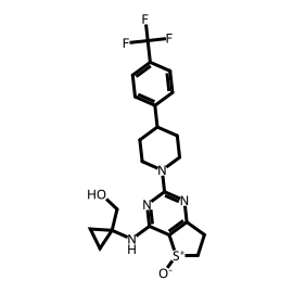 [O-][S+]1CCc2nc(N3CCC(c4ccc(C(F)(F)F)cc4)CC3)nc(NC3(CO)CC3)c21